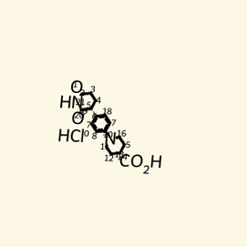 Cl.O=C1CC[C@H](c2ccc(N3CCC(C(=O)O)CC3)cc2)C(=O)N1